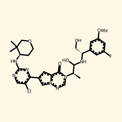 COc1cc(F)cc([C@@H](CO)NC(O)[C@@H](C)n2cnn3cc(-c4nc(N[C@@H]5CCOCC5(C)C)ncc4Cl)cc3c2=O)c1